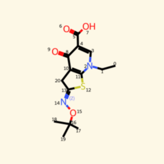 CCn1cc(C(=O)O)c(=O)c2c1S/C(=N\OC(C)(C)C)C2